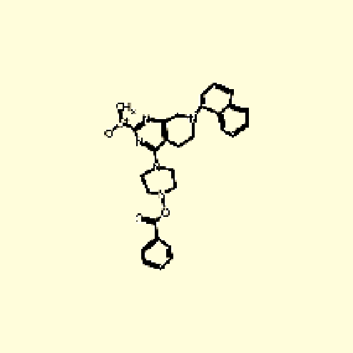 C[S+]([O-])c1nc2c(c(N3CCN(OC(=O)c4ccccc4)CC3)n1)CCN(c1cccc3ccccc13)C2